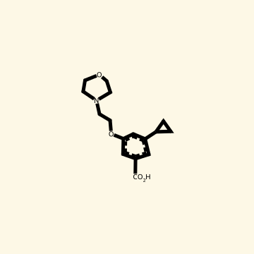 O=C(O)c1cc(OCCN2CCOCC2)cc(C2CC2)c1